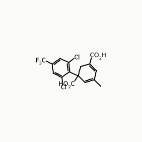 CC1=CC(C(=O)O)(c2c(Cl)cc(C(F)(F)F)cc2Cl)CC(C(=O)O)=C1